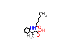 CCCCCC(=O)N[C@H](C(=O)O)C(C)c1ccccc1